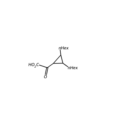 CCCCCCC1C(CCCCCC)C1C(=O)C(=O)O